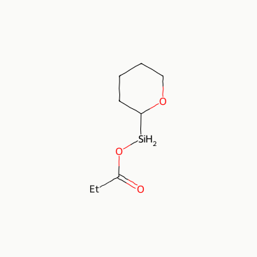 CCC(=O)O[SiH2]C1CCCCO1